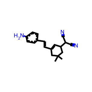 CC1(C)CC(C=Cc2ccc(N)cc2)=CC(C(C#N)C#N)C1